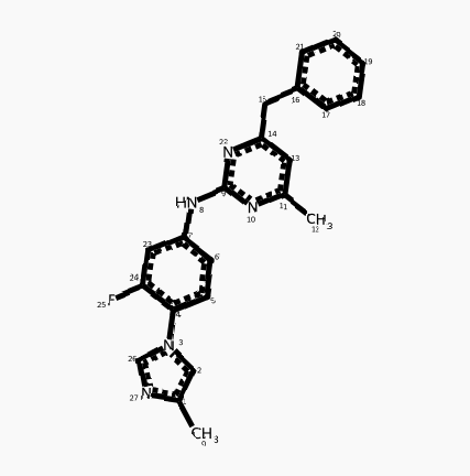 Cc1cn(-c2ccc(Nc3nc(C)cc(Cc4ccccc4)n3)cc2F)cn1